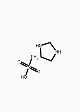 C1CNCN1.CS(=O)(=O)O